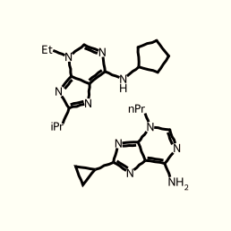 CCCn1cnc(N)c2nc(C3CC3)nc1-2.CCn1cnc(NC2CCCC2)c2nc(C(C)C)nc1-2